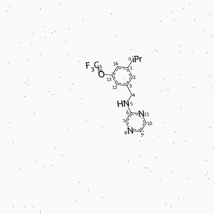 CC(C)c1cc(CNc2cn[c]cn2)cc(OC(F)(F)F)c1